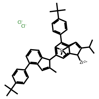 CC1=Cc2c(-c3ccc(C(C)(C)C)cc3)cccc2C1c1cc2c3c(-c4ccc(C(C)(C)C)cc4)c1[Si](C)(C)C3=C(C(C)C)[CH]2[Zr+2].[Cl-].[Cl-]